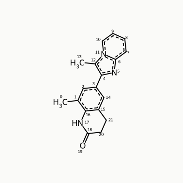 Cc1cc(-c2nc3ccccn3c2C)cc2c1NC(=O)CC2